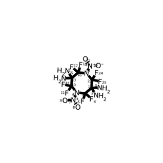 NC1(N)C(F)(F)N([N+](=O)[O-])C(F)(F)C(N)(N)C(F)(F)N([N+](=O)[O-])C1(F)F